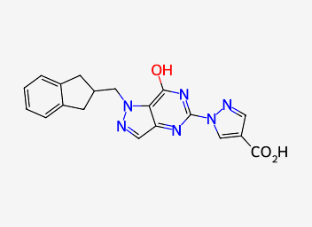 O=C(O)c1cnn(-c2nc(O)c3c(cnn3CC3Cc4ccccc4C3)n2)c1